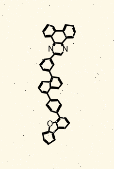 c1cc(-c2cnc3c4ccccc4c4ccccc4c3n2)cc(-c2cccc3c(-c4ccc(-c5cccc6c5oc5ccccc56)cc4)cccc23)c1